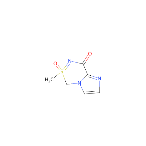 CS1(=O)=NC(=O)c2nccn2C1